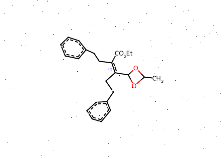 CCOC(=O)/C(CCc1ccccc1)=C(/CCc1ccccc1)C1OC(C)O1